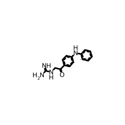 N=C(N)NCC(=O)c1ccc(Nc2[c]cccc2)cc1